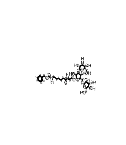 O=C(CCCCCNC(=O)OCc1ccccc1)NCCO[C@H]1O[C@H](CO[C@H]2O[C@H](CO)[C@@H](O)[C@H](O)[C@@H]2O)[C@@H](O)[C@H](OC2O[C@H](CO)[C@@H](O)[C@H](O)[C@@H]2O)[C@@H]1O